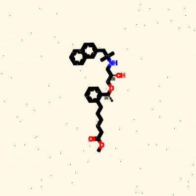 COC(=O)CCCCCc1ccccc1[C@@H](C)OC[C@@H](O)CNC(C)(C)Cc1ccc2ccccc2c1